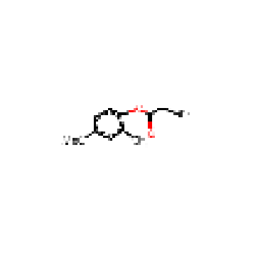 COc1ccc(OC(=O)CC(C)C)c(C)c1